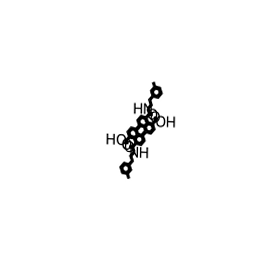 Cc1cccc(CCNC(=O)c2ccc3c4ccc(C(=O)O)c5c(C(=O)NCCc6cccc(C)c6)ccc(c6ccc(C(=O)O)c2c63)c54)c1